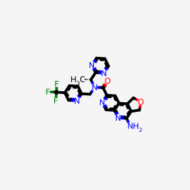 C[C@H](c1ncccn1)N(Cc1ccc(C(F)(F)F)cn1)C(=O)c1cc2c3c(c(N)nc2cn1)COC3